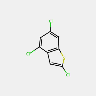 Clc1[c]c2sc(Cl)cc2c(Cl)c1